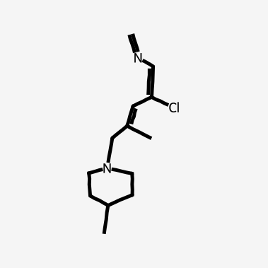 C=N/C=C(Cl)\C=C(/C)CN1CCC(C)CC1